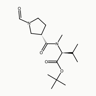 CC(C)[C@@H](C(=O)OC(C)(C)C)N(C)C(=O)[C@H]1CCN(C=O)C1